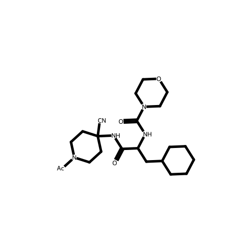 CC(=O)N1CCC(C#N)(NC(=O)C(CC2CCCCC2)NC(=O)N2CCOCC2)CC1